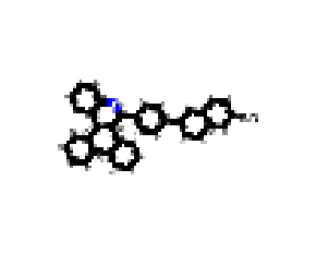 N#Cc1ccc2cc(-c3ccc(-c4nc5ccccc5c5c6ccccc6c6ccccc6c45)cc3)ccc2c1